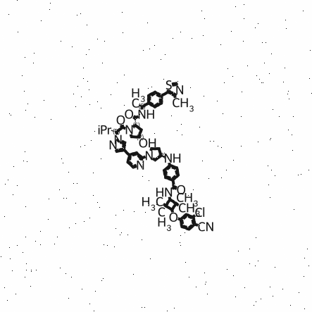 Cc1ncsc1-c1ccc([C@H](C)NC(=O)[C@@H]2C[C@@H](O)CN2C(=O)[C@@H](C(C)C)n2cc(-c3ccnc(N4CC[C@@H](Nc5ccc(C(=O)NC6C(C)(C)C(Oc7ccc(C#N)c(Cl)c7)C6(C)C)cc5)C4)c3)cn2)cc1